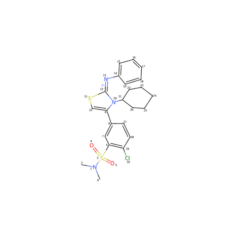 CN(C)S(=O)(=O)c1cc(-c2cs/c(=N/c3ccccc3)n2C2CCCCC2)ccc1Cl